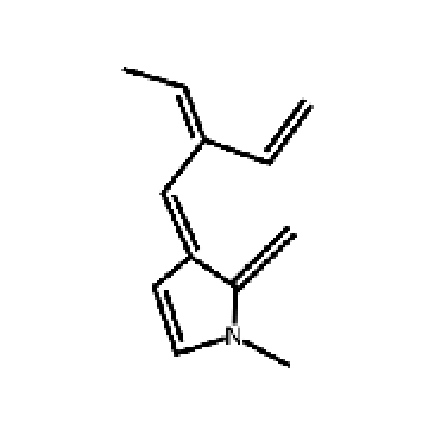 C=CC(=C/C)/C=c1/ccn(C)c1=C